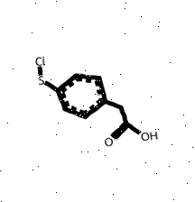 O=C(O)Cc1ccc(SCl)cc1